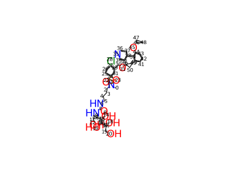 CN(CCCCNC(=O)N[C@@H](CO)[C@@H](O)[C@@H](O)[C@H](O)CO)S(=O)(=O)c1ccc(Cl)c(COC2(c3cnccc3-c3ccccc3OC3CC3)CC2)c1